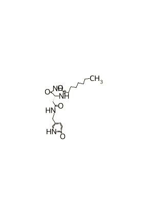 CCCCCCCC(=O)N[C@H](CC(=O)NCCc1ccc(=O)[nH]c1)C(N)=O